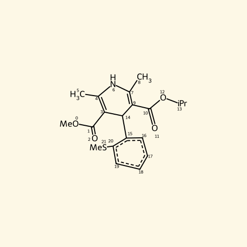 COC(=O)C1=C(C)NC(C)=C(C(=O)OC(C)C)C1c1ccccc1SC